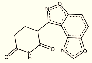 O=C1CCC(c2noc3ccc4ocnc4c23)C(=O)N1